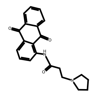 O=C(CCN1CCCC1)Nc1cccc2c1C(=O)c1ccccc1C2=O